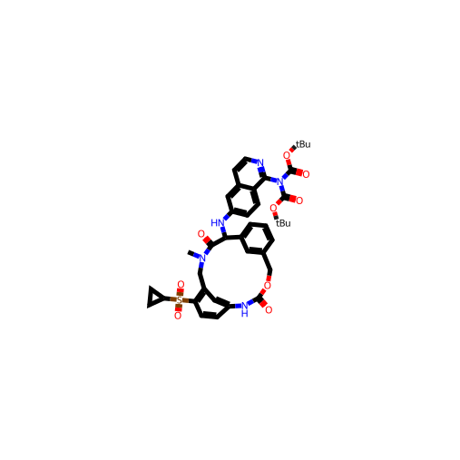 CN1Cc2cc(ccc2S(=O)(=O)C2CC2)NC(=O)OCc2cccc(c2)C(Nc2ccc3c(N(C(=O)OC(C)(C)C)C(=O)OC(C)(C)C)nccc3c2)C1=O